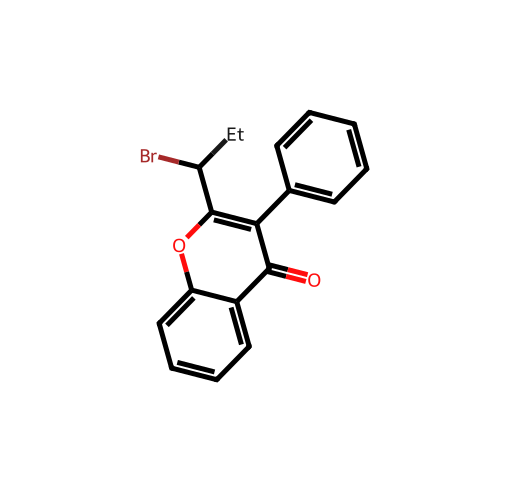 CCC(Br)c1oc2ccccc2c(=O)c1-c1ccccc1